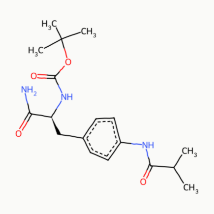 CC(C)C(=O)Nc1ccc(C[C@H](NC(=O)OC(C)(C)C)C(N)=O)cc1